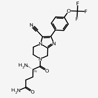 N#Cc1c(-c2ccc(OC(F)(F)F)cc2)nc2n1CCN(C(=O)[C@@H](N)CCC(N)=O)C2